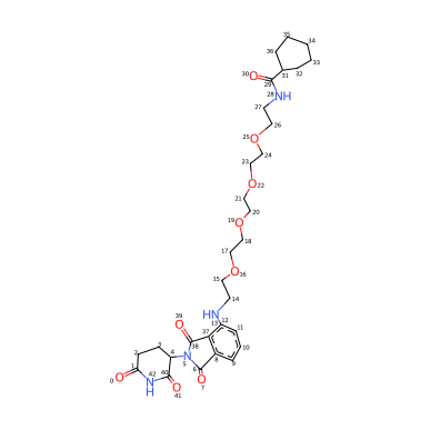 O=C1CCC(N2C(=O)c3cccc(NCCOCCOCCOCCOCCNC(=O)C4CCCCC4)c3C2=O)C(=O)N1